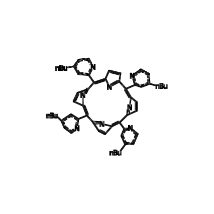 CCCCc1ccnc(C2=C3C=CC(=N3)C(c3cc(CCCC)ccn3)=C3C=CC(=N3)C(c3cc(CCCC)ccn3)=C3C=CC(=N3)C(c3cc(CCCC)ccn3)=C3C=CC2=N3)c1